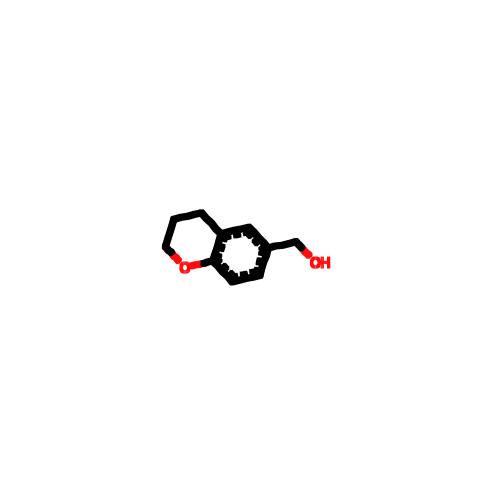 OCc1ccc2c(c1)CCCO2